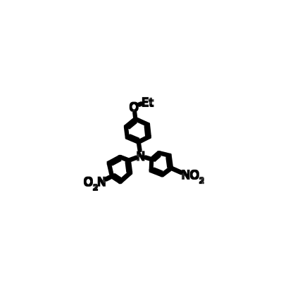 CCOc1ccc(N(c2ccc([N+](=O)[O-])cc2)c2ccc([N+](=O)[O-])cc2)cc1